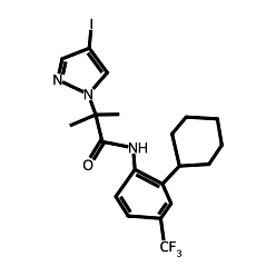 CC(C)(C(=O)Nc1ccc(C(F)(F)F)cc1C1CCCCC1)n1cc(I)cn1